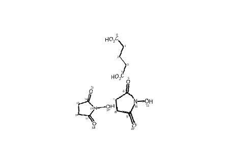 O=C(O)CCCC(=O)O.O=C1CCC(=O)N1O.O=C1CCC(=O)N1O